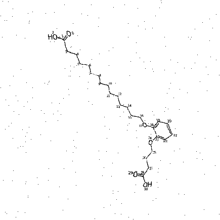 O=C(O)CCCCCCCCCCCCCCOc1ccccc1OCCCC(=O)O